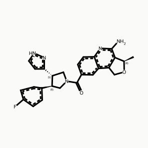 C[C@H]1OCc2c1c(N)nc1ccc(C(=O)N3C[C@@H](c4ccc(F)cc4)[C@H](c4cc[nH]n4)C3)cc21